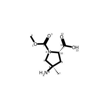 COC(=O)N1C[C@](C)(N)C[C@H]1C(=O)O